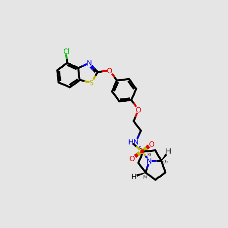 CS(=O)(=O)N1[C@@H]2CC[C@H]1C[C@@H](NCCOc1ccc(Oc3nc4c(Cl)cccc4s3)cc1)C2